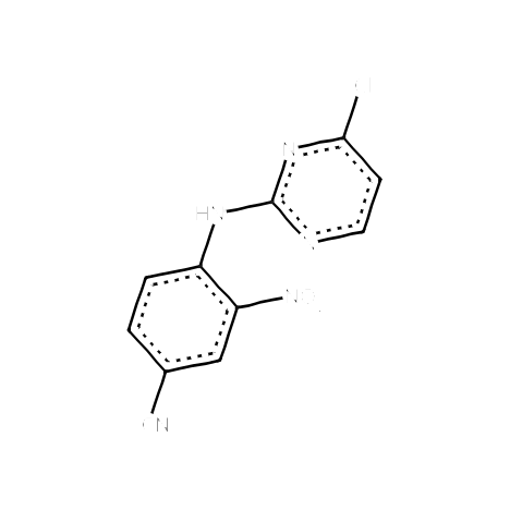 N#Cc1ccc(Nc2nccc(Cl)n2)c([N+](=O)[O-])c1